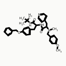 COc1ccc(CN(C)C(Cc2ccncc2)C(=O)NC(Cc2ccc(OCc3ccccc3)cc2)C(=O)NC(C)(C)C)cc1